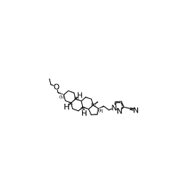 CCOC[C@H]1CC[C@@H]2C3CC[C@@]4(C)C(CC[C@@H]4CCn4ccc(C#N)n4)[C@@H]3CC[C@@H]2C1